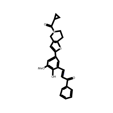 COc1cc(-c2cc3c(s2)CCN(C(=O)C2CC2)C3)cc(/C=C/C(=O)c2ccccc2)c1O